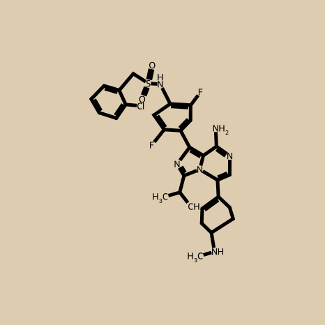 CNC1CC=C(c2cnc(N)c3c(-c4cc(F)c(NS(=O)(=O)Cc5ccccc5Cl)cc4F)nc(C(C)C)n23)CC1